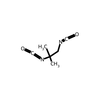 CC(C)(CN=C=O)N=C=O